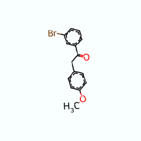 COc1ccc(CC(=O)c2cccc(Br)c2)cc1